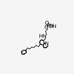 O=[PH](O)OCCCNCc1ccc(CCCCCCc2ccccc2)c2cccnc12